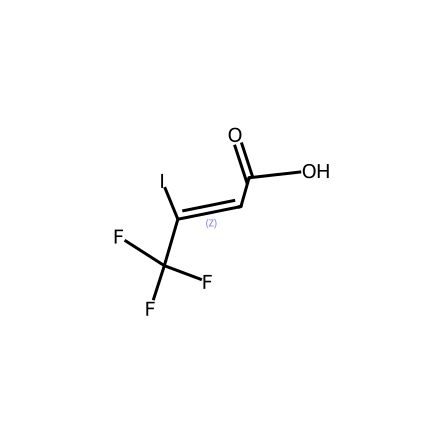 O=C(O)/C=C(\I)C(F)(F)F